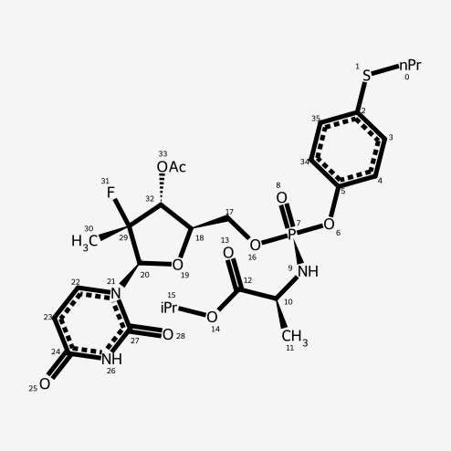 CCCSc1ccc(O[P@](=O)(N[C@@H](C)C(=O)OC(C)C)OC[C@H]2O[C@@H](n3ccc(=O)[nH]c3=O)[C@](C)(F)[C@@H]2OC(C)=O)cc1